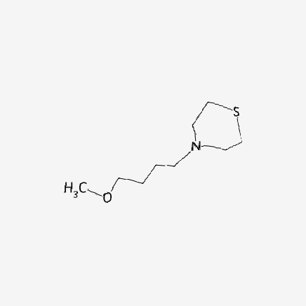 COCCCCN1CCSCC1